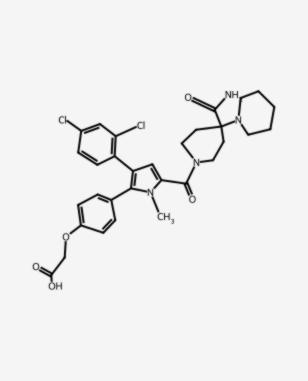 Cn1c(C(=O)N2CCC(C(N)=O)(N3CCCCC3)CC2)cc(-c2ccc(Cl)cc2Cl)c1-c1ccc(OCC(=O)O)cc1